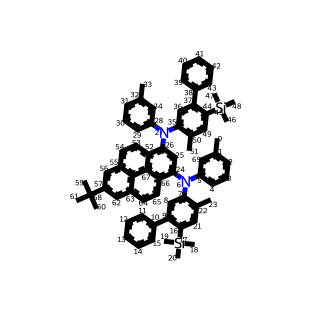 Cc1cccc(N(c2cc(-c3ccccc3)c([Si](C)(C)C)cc2C)c2cc(N(c3cccc(C)c3)c3cc(-c4ccccc4)c([Si](C)(C)C)cc3C)c3ccc4cc(C(C)(C)C)cc5ccc2c3c54)c1